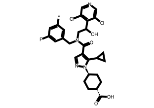 O=C(c1cnn([C@H]2CC[C@H](C(=O)O)CC2)c1C1CC1)N(Cc1cc(F)cc(F)c1)CC(O)c1c(Cl)cncc1Cl